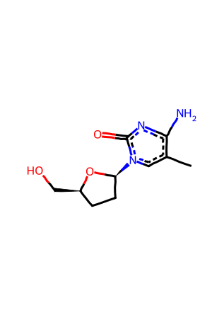 Cc1cn([C@H]2CC[C@@H](CO)O2)c(=O)nc1N